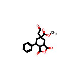 COC(=O)C1(CC=O)CC2C(=O)OC(=O)C2C(c2ccccc2)C1